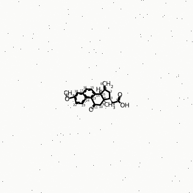 C=C1C[C@@H](CC(=O)O)[C@@]2(C)CC(=O)c3c(ccc4cc(OC)ccc34)[C@H]12